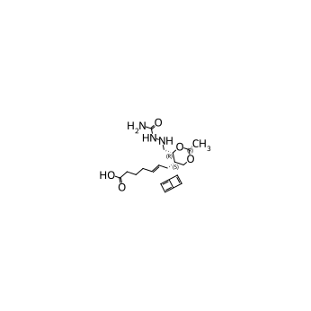 C[C@@H]1OC[C@H](CC=CCCCC(=O)O)[C@H](CNNC(N)=O)O1.c1cc2ccc1-2